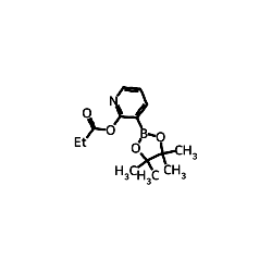 CCC(=O)Oc1ncccc1B1OC(C)(C)C(C)(C)O1